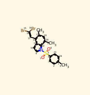 Cc1ccc(S(=O)(=O)n2ccc3c(C=C(Br)Br)c(C)cc(C)c32)cc1